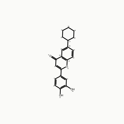 O=c1cc(-c2ccc(O)c(O)c2)oc2ccc(C3CCCCC3)cc12